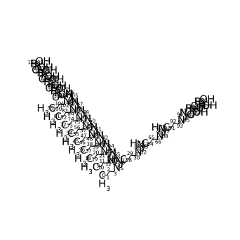 CCCCn1ccnc1.CCCCn1ccnc1.CCCCn1ccnc1.CCCCn1ccnc1.CCCCn1ccnc1.CCCCn1ccnc1.CCCCn1ccnc1.CCCCn1ccnc1.CCCCn1ccnc1.CCCCn1ccnc1.CCCCn1ccnc1.CCCCn1ccnc1.O=P(O)(O)F.O=P(O)(O)F.O=P(O)(O)F.O=P(O)(O)F.O=P(O)(O)F.O=P(O)(O)F